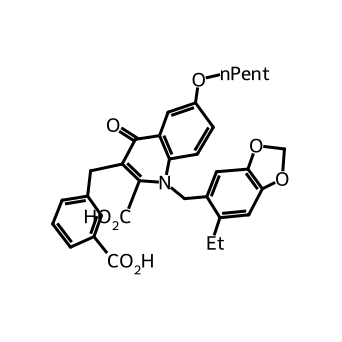 CCCCCOc1ccc2c(c1)c(=O)c(Cc1cccc(C(=O)O)c1)c(C(=O)O)n2Cc1cc2c(cc1CC)OCO2